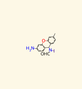 Cc1ccc2c(c1)Oc1cc(N)ccc1C2N(I)C=O